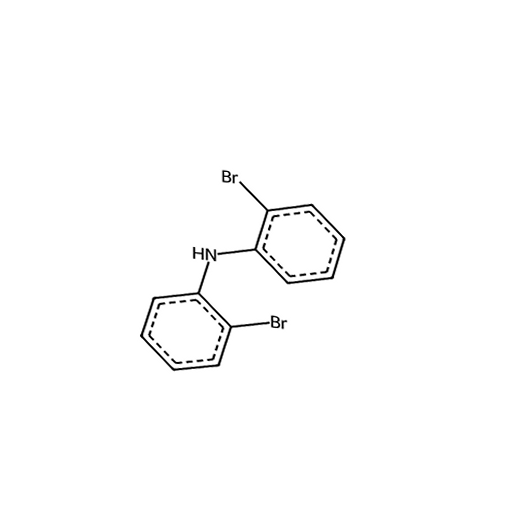 Brc1ccccc1Nc1ccccc1Br